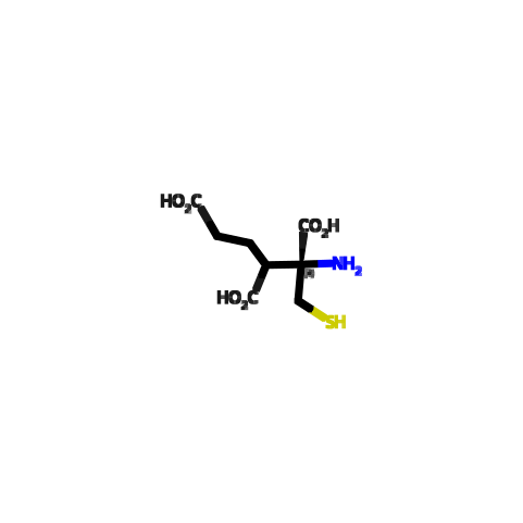 N[C@@](CS)(C(=O)O)C(CCC(=O)O)C(=O)O